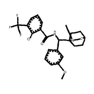 COc1cccc(C(NC(=O)c2cccc(C(F)(F)F)c2Cl)C23CCC(CC2)CN3C)c1